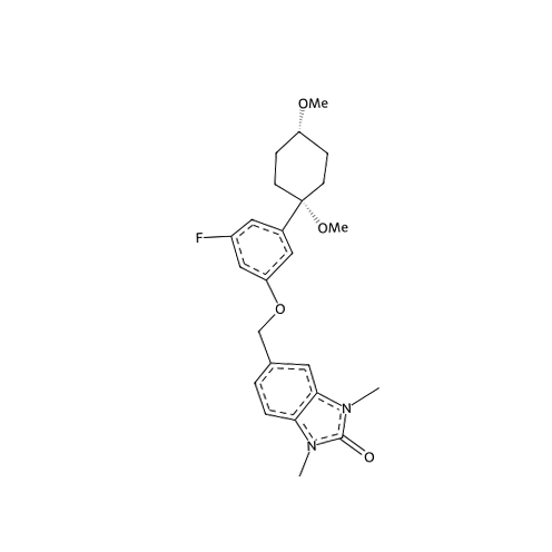 CO[C@H]1CC[C@](OC)(c2cc(F)cc(OCc3ccc4c(c3)n(C)c(=O)n4C)c2)CC1